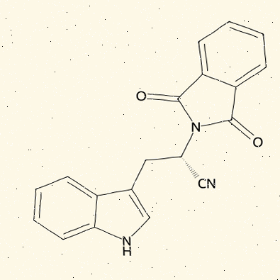 N#C[C@H](Cc1c[nH]c2ccccc12)N1C(=O)c2ccccc2C1=O